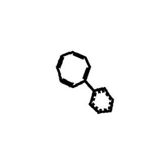 [C]1=C(c2ccccc2)\C=C/C=C\C=C/1